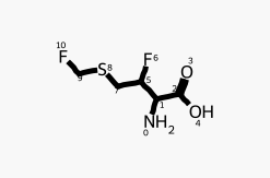 NC(C(=O)O)C(F)CSCF